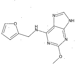 COc1nc(NCc2ccco2)c2nc[nH]c2n1